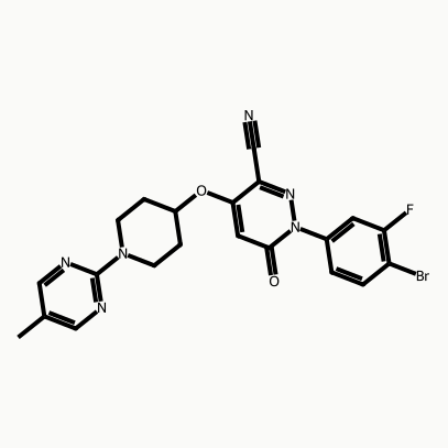 Cc1cnc(N2CCC(Oc3cc(=O)n(-c4ccc(Br)c(F)c4)nc3C#N)CC2)nc1